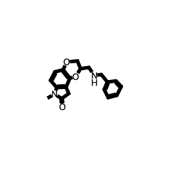 CN1C(=O)Cc2c1ccc1c2OC(CNCc2ccccc2)CO1